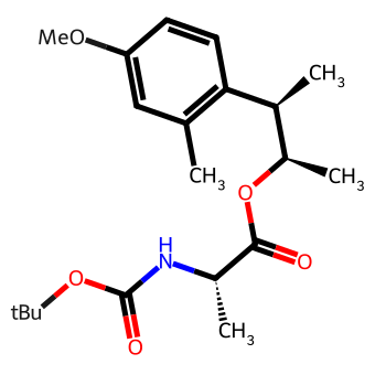 COc1ccc([C@@H](C)[C@@H](C)OC(=O)[C@H](C)NC(=O)OC(C)(C)C)c(C)c1